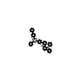 c1ccc(-c2ccc(-c3nc(-c4ccccc4)nc(-c4ccc(-c5cccc6c5oc5ccc7c8ccccc8n(-c8ccccc8)c7c56)cc4)n3)cc2)cc1